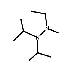 CCN(C)N(C(C)C)C(C)C